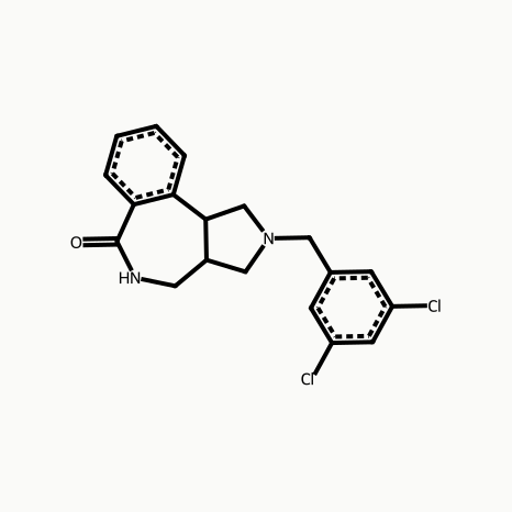 O=C1NCC2CN(Cc3cc(Cl)cc(Cl)c3)CC2c2ccccc21